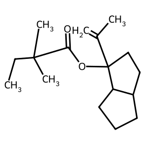 C=C(C)C1(OC(=O)C(C)(C)CC)CCC2CCCC21